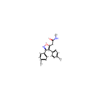 CCNC(=O)Cc1onc(-c2ccc(CC)cc2)c1-c1ccc(CC)cc1